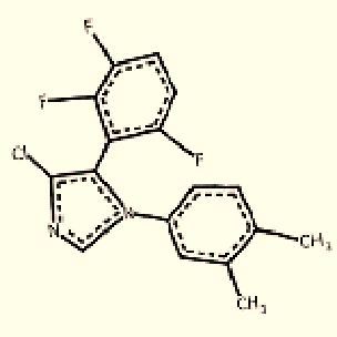 Cc1ccc(-n2cnc(Cl)c2-c2c(F)ccc(F)c2F)cc1C